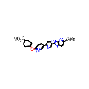 COc1ccc2nc(-c3ccc(-c4ccc(OC5CCC(C(=O)O)CC5)nc4)nc3)[nH]c2n1